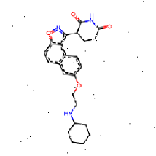 O=C1CCC(c2noc3ccc4cc(OCCNC5CCCCC5)ccc4c23)C(=O)N1